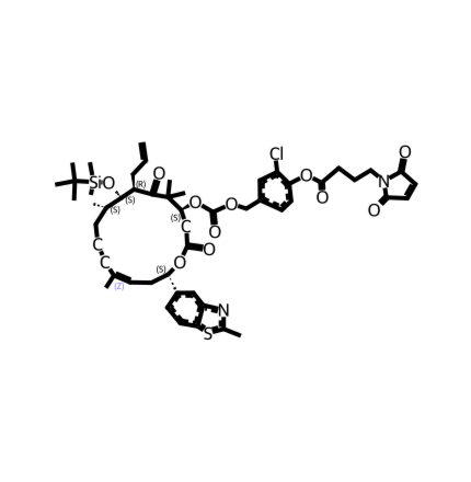 C=CC[C@H]1C(=O)C(C)(C)[C@@H](OC(=O)OCc2ccc(OC(=O)CCCN3C(=O)C=CC3=O)c(Cl)c2)CC(=O)O[C@H](c2ccc3sc(C)nc3c2)C/C=C(/C)CCC[C@H](C)[C@@H]1O[Si](C)(C)C(C)(C)C